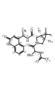 CC(C)(C)C(NC(=O)C(F)(F)F)C(=O)N1C[C@H]2[C@@H]([C@H]1C(=O)NC(C#N)c1cc(=O)[nH]c3ccccc13)C2(C)C